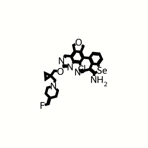 N#Cc1c(N)[se]c2cccc(-c3c4c(c5cnc(OCC6(CN7CCC(=CF)CC7)CC6)nc5c3Cl)COC4)c12